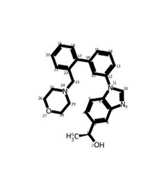 C[C@H](O)c1ccc2c(c1)ncn2-c1cccc(-c2ccccc2CN2CCOCC2)c1